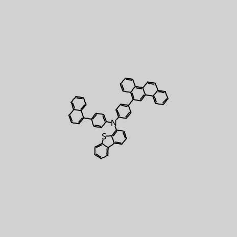 c1ccc2c(-c3ccc(N(c4ccc(-c5cc6c7ccccc7ccc6c6ccccc56)cc4)c4cccc5c4sc4ccccc45)cc3)cccc2c1